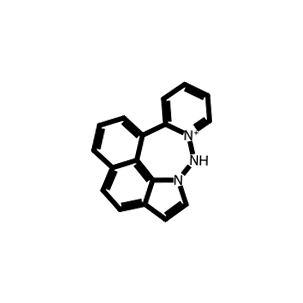 c1cc2ccc3ccn4[nH][n+]5ccccc5c(c1)c2c34